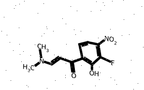 CN(C)C=CC(=O)c1ccc([N+](=O)[O-])c(F)c1O